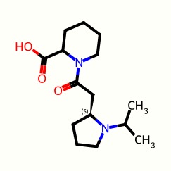 CC(C)N1CCC[C@H]1CC(=O)N1CCCCC1C(=O)O